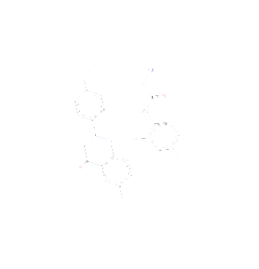 COc1ccc(C2CC(=O)c3cc(Cl)ccc3N2)cc1.NNC(=O)Nc1ccc(Cl)cc1Cl